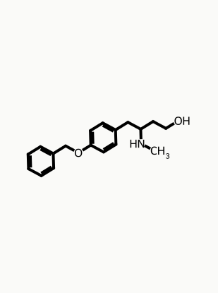 CNC(CCO)Cc1ccc(OCc2ccccc2)cc1